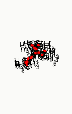 CC(C)(C)c1cc(-c2nc(-c3ccc(-c4ccc(B5OC(C)(C)C(C)(C)O5)cc4)nc3)nc(-c3cc(C(C)(C)C)cc(C(C)(C)C)c3)n2)cc(C(C)(C)C)c1